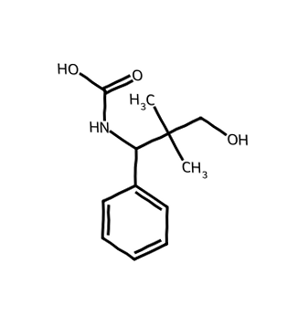 CC(C)(CO)C(NC(=O)O)c1ccccc1